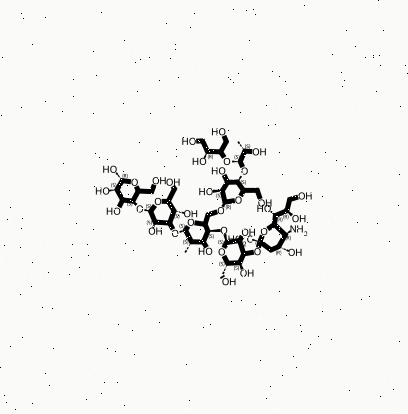 C[C@H](O)[C@@H](OC(CO)[C@H](O)CO)O[C@@H]1C(CO)O[C@@H](OCC2O[C@@H](OC3[C@@H](O)C(CO)O[C@@H](O[C@@H]4C(CO)O[C@@H](O)[C@@H](O)C4O)[C@H]3O)[C@@H](C)C(O)[C@@H]2O[C@@H]2O[C@@H](CO)[C@H](O)C(O[C@]3(C(=O)O)C[C@@H](O)[C@@H](N)C([C@H](O)[C@H](O)CO)O3)C2O)[C@@H](O)C1O